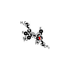 C[C@H]1COC(CCN2CCC(N(Cc3ccc(F)cc3)C(=O)C(OC(=O)C(=O)OC(C(=O)N(Cc3ccc(F)cc3)C3CCN(CCC4OC[C@H](C)O4)CC3)c3ccc(OC(F)(F)F)cc3)c3ccc(OC(F)(F)F)cc3)CC2)O1